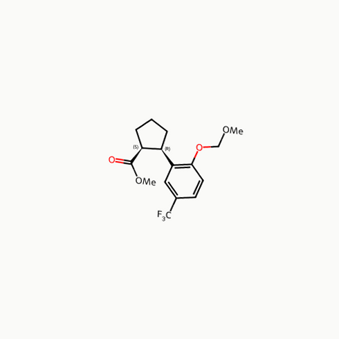 COCOc1ccc(C(F)(F)F)cc1[C@@H]1CCC[C@@H]1C(=O)OC